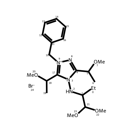 CCC(Nn1c(C(C)OC)n[n+](Cc2ccccc2)c1C(C)OC)C(OC)OC.[Br-]